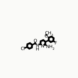 COc1ccc(F)cc1-c1ccc(NC(=O)c2ccc(Cl)cc2)nc1N